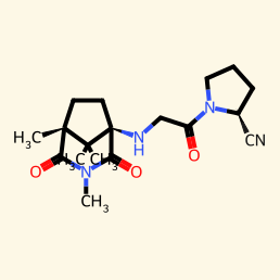 CN1C(=O)[C@]2(C)CC[C@](NCC(=O)N3CCC[C@H]3C#N)(C1=O)C2(C)C